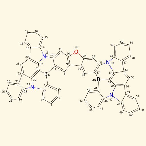 c1ccc2c(c1)B1c3cc4c(cc3-n3c5ccccc5c5cc6c7ccccc7n-2c6c1c53)oc1cc2c(cc14)B1c3ccccc3-n3c4ccccc4c4cc5c6ccccc6n-2c5c1c43